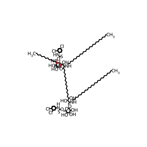 CCCCCCCCCCCCCCCCCCCCCCCCCCNC(CO[C@H]1O[C@H](COC(=S)Nc2ccc(Cl)c(Cl)c2)[C@H](O)[C@H](O)[C@H]1O)C(O)C(O)CCCCCCCCCCCCCCC(O[C@H]1O[C@H](COC(=S)Nc2ccc(Cl)cc2Cl)[C@H](O)[C@H](O)[C@H]1O)[C@@H](NCCCCCCCCCCCCCCCCCCCCCCCCCC)[C@H](O)[C@H](O)CCCCCCCCCCCCCC